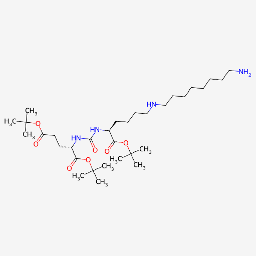 CC(C)(C)OC(=O)CC[C@H](NC(=O)N[C@@H](CCCCNCCCCCCCCN)C(=O)OC(C)(C)C)C(=O)OC(C)(C)C